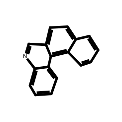 [c]1nc2ccccc2c2c1ccc1ccccc12